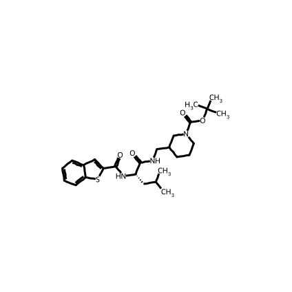 CC(C)C[C@H](NC(=O)c1cc2ccccc2s1)C(=O)NCC1CCCN(C(=O)OC(C)(C)C)C1